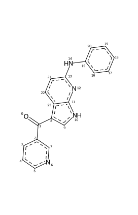 O=C(c1cccnc1)c1c[nH]c2nc(Nc3ccccc3)ccc12